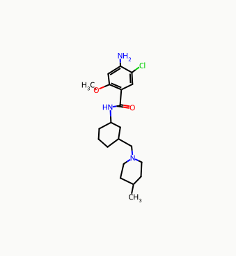 COc1cc(N)c(Cl)cc1C(=O)NC1CCCC(CN2CCC(C)CC2)C1